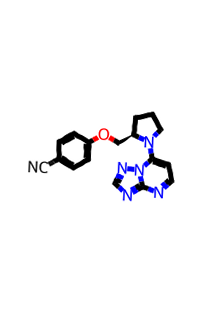 N#Cc1ccc(OC[C@H]2CCCN2c2ccnc3ncnn23)cc1